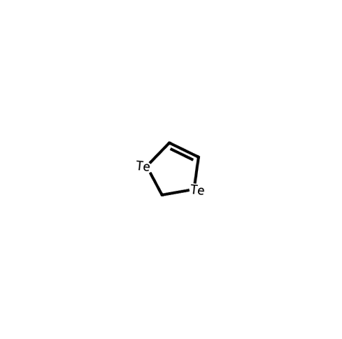 C1=C[Te]C[Te]1